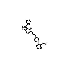 COc1ccccc1N1CCN(CCCC2CCc3onc(-c4ccccc4)c3C2=O)CC1